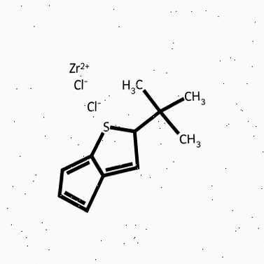 CC(C)(C)C1C=C2C=CC=C2S1.[Cl-].[Cl-].[Zr+2]